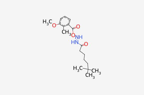 COc1cccc(C(=O)ONNC(=O)CCCCC(C)(C)C)c1C